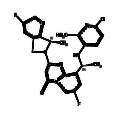 C[C@@H]1c2ncc(F)cc2CN1c1cc(=O)n2cc(F)cc([C@@H](C)Nc3ccc(Cl)nc3C(=O)O)c2n1